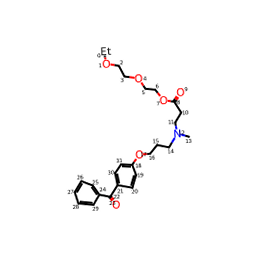 CCOCCOCCOC(=O)CCN(C)CCCOc1ccc(C(=O)c2ccccc2)cc1